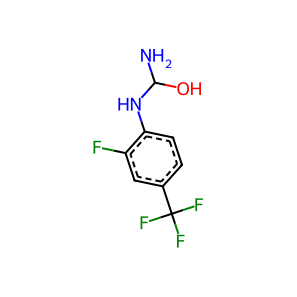 NC(O)Nc1ccc(C(F)(F)F)cc1F